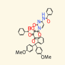 COc1ccc(C(O[C@@H]2CO[C@@H](n3ccc(NC(=O)c4ccccc4)nc3=O)[C@H](O)[C@@H]2OC(=O)c2ccccc2)(c2ccccc2)c2ccc(OC)cc2)cc1